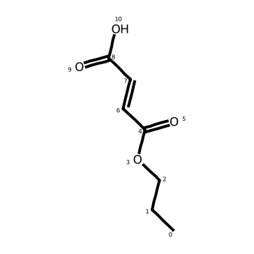 CCCOC(=O)C=CC(=O)O